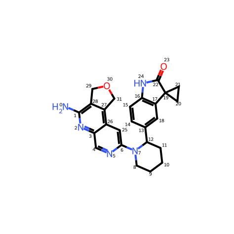 Nc1nc2cnc(N3CCCCC3c3ccc4c(c3)C3(CC3)C(=O)N4)cc2c2c1COC2